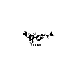 O=C(Nc1cn2cc(-c3c(Cl)c(F)c(OC4CNC4)c4[nH]ncc34)ncc2n1)[C@@H]1C[C@@H]1F.O=CO